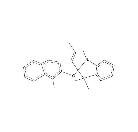 CC=CC1(Oc2ccc3ccccc3c2C)N(C)c2ccccc2C1(C)C